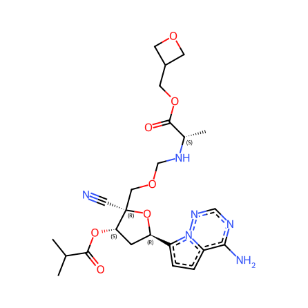 CC(C)C(=O)O[C@H]1C[C@H](c2ccc3c(N)ncnn23)O[C@]1(C#N)COCN[C@@H](C)C(=O)OCC1COC1